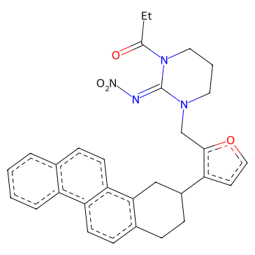 CCC(=O)N1CCCN(Cc2occc2C2CCc3ccc4c(ccc5ccccc54)c3C2)C1=N[N+](=O)[O-]